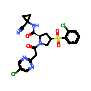 N#CC1(NC(=O)[C@@H]2C[C@@H](S(=O)(=O)c3ccccc3Cl)CN2C(=O)Cc2ncc(Cl)cn2)CC1